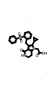 O=C(O)Cn1c2c(c(Cc3ccccc3S(=O)(=O)c3ccccc3)c1C1CC1)C(=O)NCC2